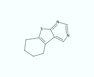 [c]1ncc2c3c(sc2n1)CCCC3